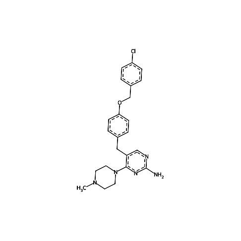 CN1CCN(c2nc(N)ncc2Cc2ccc(OCc3ccc(Cl)cc3)cc2)CC1